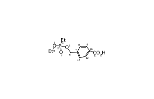 CCOP(=O)(CC)OCc1ccc(C(=O)O)cc1